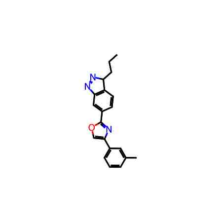 CCCC1N=Nc2cc(-c3nc(-c4cccc(C)c4)co3)ccc21